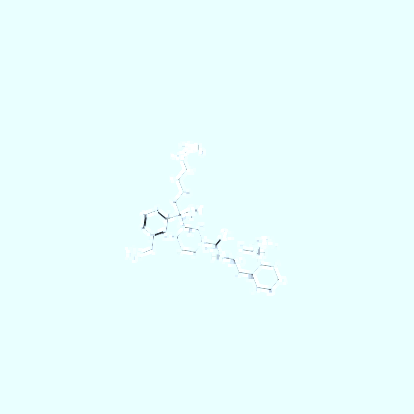 CCc1cccc([C@](O)(CCCCOC)[C@@H]2CCCN(C(=O)N[C@H](CNC)CC3CCCCC3)C2)c1